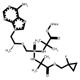 CCCCCCOC(=O)C(C)(C)NP(=O)(CO[C@H](C)Cn1cnc2c(N)ncnc21)NC(C)(C)C(=O)OCC1(F)CC1